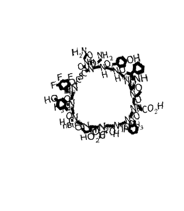 CCCC[C@H]1C(=O)N2CCC[C@@H]2C(=O)N[C@@H](CC(=O)O)C(=O)N[C@@H](C(C)C)C(=O)N(C)[C@@H](Cc2ccccc2)C(=O)N[C@@H](CCC(=O)O)C(=O)N2CCOC[C@@H]2C(=O)N[C@@H](Cc2c[nH]c3ccccc23)C(=O)N[C@@H](Cc2ccc(O)cc2)C(=O)N[C@@H](CCN)C(=O)N[C@H](C(=O)NCC(N)=O)CSCC(=O)N[C@@H](Cc2cc(F)c(F)c(F)c2)C(=O)N(C)[C@@H](Cc2ccc(O)cc2)C(=O)N1C